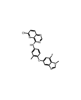 Cc1cc(Nc2ncnc3ccc(Cl)nc23)ccc1Oc1cc(F)c2c(c1)ncn2C